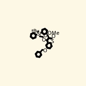 COC(=O)c1c(OCC[Si](c2ccccc2)(c2ccccc2)C(C)(C)C)c2cc(OCc3ccccc3)ccc2sc1=O